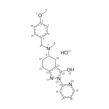 COc1ccc(CN(C)C2CCc3nn(-c4ccccn4)c(O)c3C2)cc1.Cl